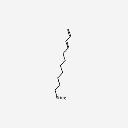 C=CC=CCCCCCCCCCCCCC